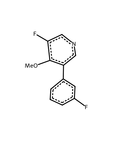 COc1c(F)cncc1-c1cccc(F)c1